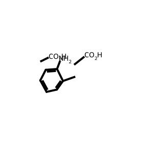 CC(=O)O.CC(=O)O.Cc1ccccc1N